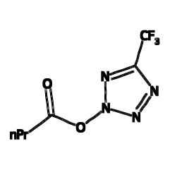 CCCC(=O)On1nnc(C(F)(F)F)n1